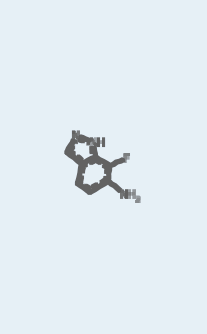 Nc1ccc2cn[nH]c2c1F